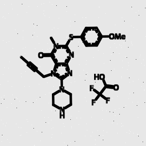 CC#CCn1c(N2CCNCC2)nc2nc(Sc3ccc(OC)cc3)n(C)c(=O)c21.O=C(O)C(F)(F)F